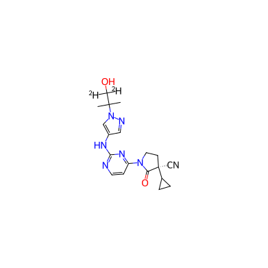 [2H]C([2H])(O)C(C)(C)n1cc(Nc2nccc(N3CC[C@@](C#N)(C4CC4)C3=O)n2)cn1